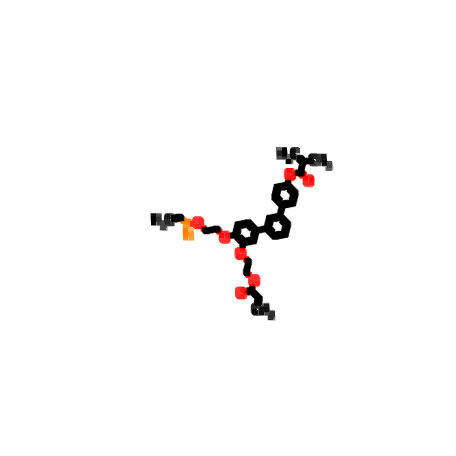 C=CPOCCOc1ccc(-c2cccc(-c3ccc(OC(=O)C(=C)C)cc3)c2)cc1OCCOC(=O)C=C